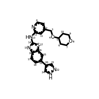 c1cc(COC2CCOCC2)cc(Nc2nc3ccc(-c4cn[nH]c4)cc3s2)n1